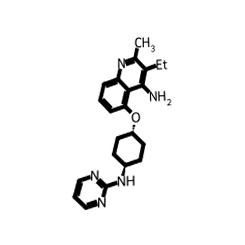 CCc1c(C)nc2cccc(O[C@H]3CC[C@H](Nc4ncccn4)CC3)c2c1N